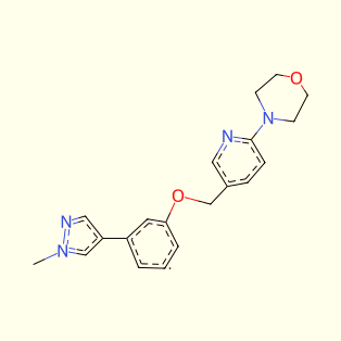 Cn1cc(-c2c[c]cc(OCc3ccc(N4CCOCC4)nc3)c2)cn1